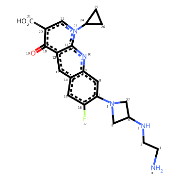 NCCNC1CN(c2cc3nc4c(cc3cc2F)c(=O)c(C(=O)O)cn4C2CC2)C1